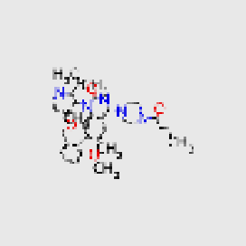 CCCC(=O)N1CCN(c2nc(=O)n(-c3c(C)ccnc3C(C)C)c3c4c(c(C)cc23)-c2c(cccc2OC)CO4)CC1